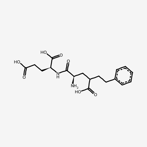 N[C@H](CC(CCc1ccccc1)C(=O)O)C(=O)N[C@@H](CCC(=O)O)C(=O)O